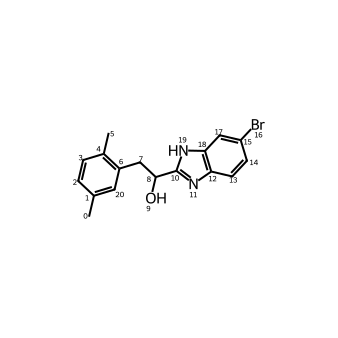 Cc1ccc(C)c(CC(O)c2nc3ccc(Br)cc3[nH]2)c1